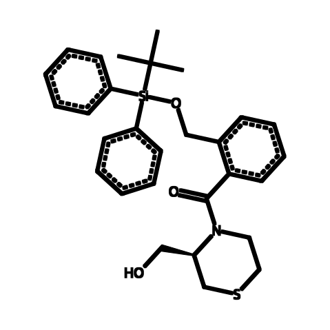 CC(C)(C)[Si](OCc1ccccc1C(=O)N1CCSC[C@H]1CO)(c1ccccc1)c1ccccc1